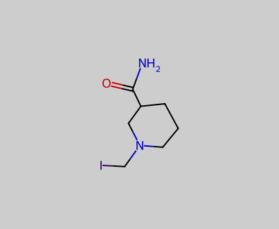 NC(=O)C1CCCN(CI)C1